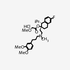 COCC(=O)O[C@@]1(CCN(C)CCCc2ccc(OC)c(OC)c2)CCc2cc(F)ccc2[C@H]1C(C)C.Cl